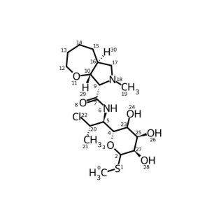 CSC1O[C@H]([C@H](NC(=O)[C@@H]2[C@@H]3OCCCC[C@H]3CN2C)[C@H](C)Cl)C(O)[C@@H](O)[C@H]1O